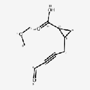 COC.O=CC#CCC1CC1C(=O)O